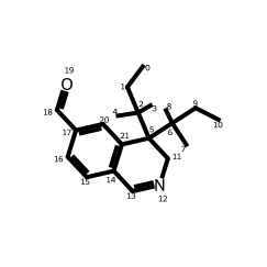 CCC(C)(C)C1(C(C)(C)CC)CN=Cc2ccc(C=O)cc21